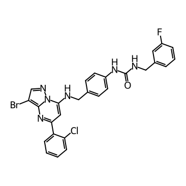 O=C(NCc1cccc(F)c1)Nc1ccc(CNc2cc(-c3ccccc3Cl)nc3c(Br)cnn23)cc1